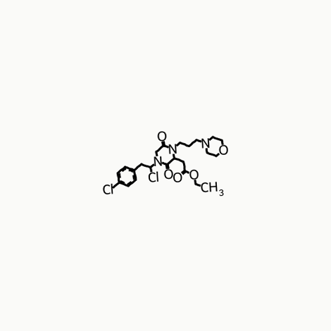 CCOC(=O)CC1C(=O)N(C(Cl)Cc2ccc(Cl)cc2)CC(=O)N1CCCN1CCOCC1